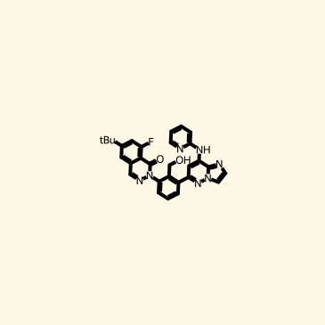 CC(C)(C)c1cc(F)c2c(=O)n(-c3cccc(-c4cc(Nc5ccccn5)c5nccn5n4)c3CO)ncc2c1